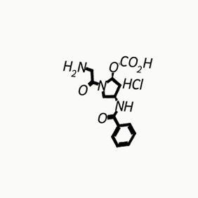 Cl.NCC(=O)N1C[C@H](NC(=O)c2ccccc2)C[C@@H]1OC(=O)O